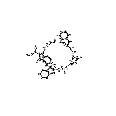 COC(=O)c1c2c3ccc(Cl)c(c3n1C)-c1c(nn3c1CCCC3)CN(C)Cc1cc(n(C)n1)CSc1cc(c3ncccc3c1)OCCC2